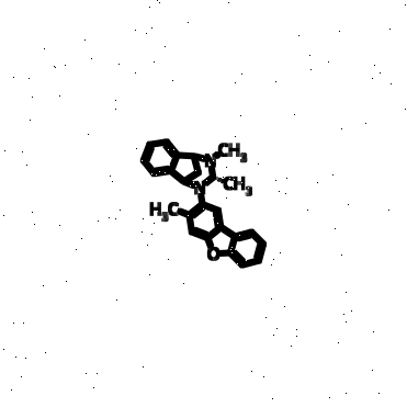 Cc1cc2oc3ccccc3c2cc1N1C2CC(c3ccccc32)N(C)[C@@H]1C